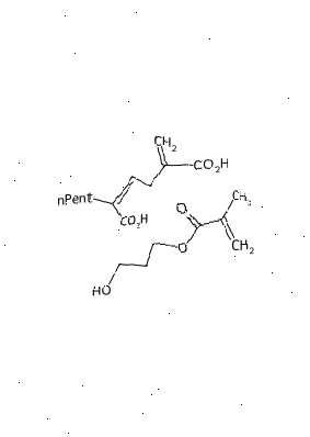 C=C(C)C(=O)OCCCO.C=C(CC=C(CCCCC)C(=O)O)C(=O)O